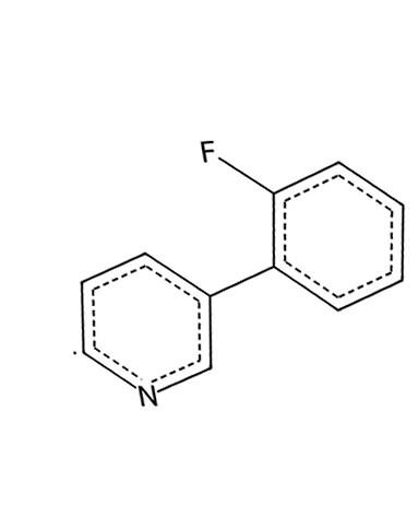 Fc1ccccc1-c1cc[c]nc1